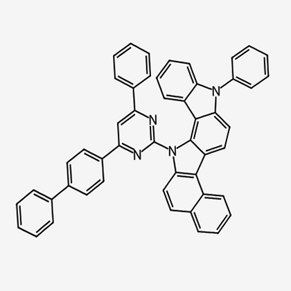 c1ccc(-c2ccc(-c3cc(-c4ccccc4)nc(-n4c5ccc6ccccc6c5c5ccc6c(c7ccccc7n6-c6ccccc6)c54)n3)cc2)cc1